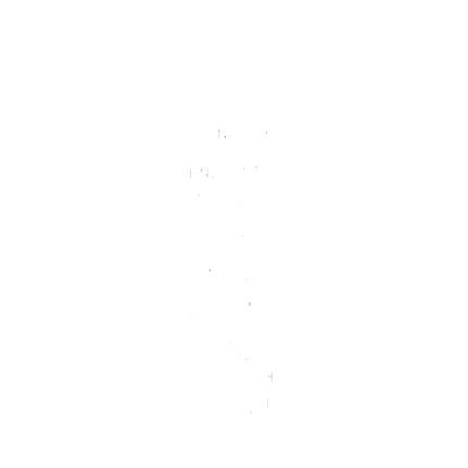 Cc1cccc(NC(=O)Nc2ccc(-c3ccc4c(c3)CCC(O)(CC(=O)O)C4=O)cc2)c1